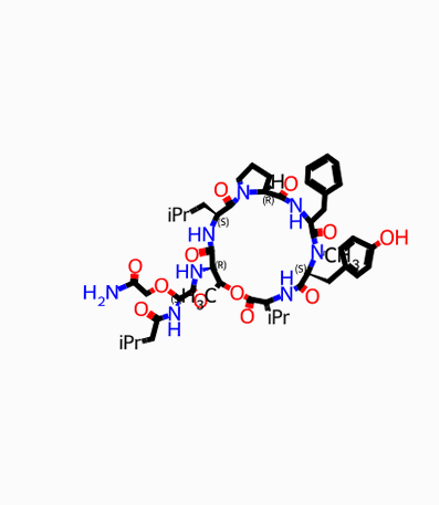 CC(C)CC(=O)N[C@@H](OCC(N)=O)C(=O)N[C@H]1C(=O)N[C@@H](CC(C)C)C(=O)N2CCC[C@@H]2C(=O)NC(Cc2ccccc2)C(=O)N(C)[C@@H](Cc2ccc(O)cc2)C(=O)NC(C(C)C)C(=O)OC1C